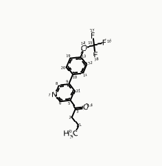 CCCC(=O)c1cncc(-c2ccc(OC(F)(F)F)cc2)c1